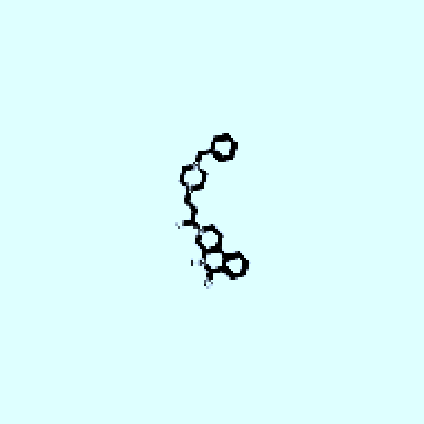 O=C(CCN1CCN(Cc2ccccc2)CC1)N1CCc2c([nH]c(=O)c3ccccc23)C1